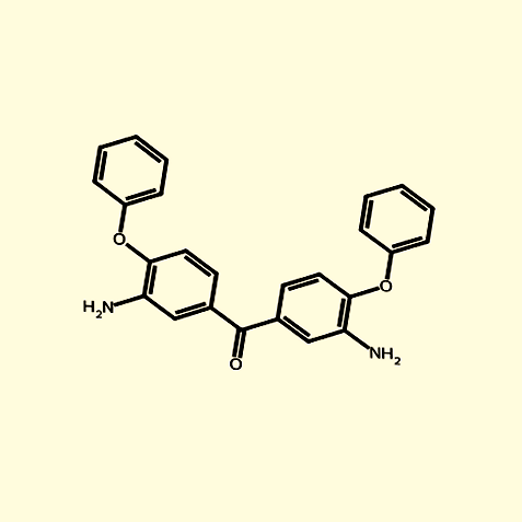 Nc1cc(C(=O)c2ccc(Oc3ccccc3)c(N)c2)ccc1Oc1ccccc1